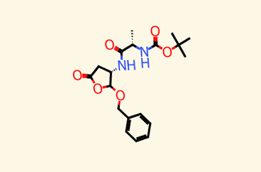 C[C@H](NC(=O)OC(C)(C)C)C(=O)N[C@H]1CC(=O)OC1OCc1ccccc1